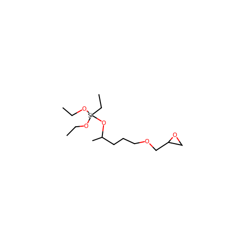 CCO[Si](CC)(OCC)OC(C)CCCOCC1CO1